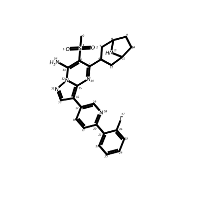 CS(=O)(=O)c1c(C2CC3CCC(C2)N3)nc2c(-c3ccc(-c4ccccc4F)nc3)cnn2c1N